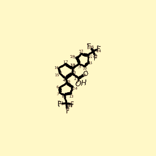 O=C(O)c1c(-c2ccc(C(F)(F)F)cc2)cccc1-c1ccc(C(F)(F)F)cc1